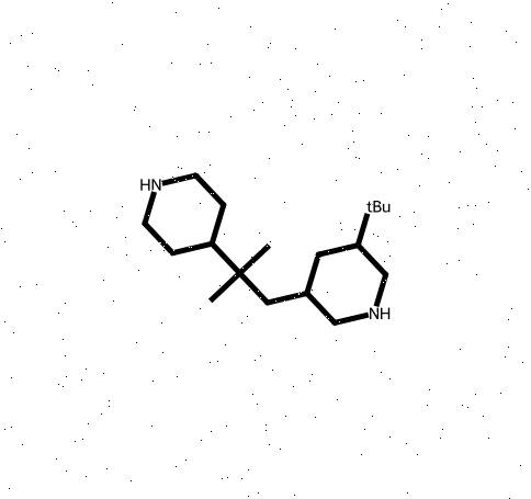 CC(C)(C)C1CNCC(CC(C)(C)C2CCNCC2)C1